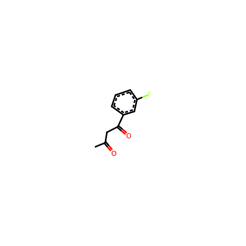 CC(=O)CC(=O)c1cccc(F)c1